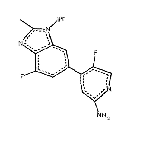 Cc1nc2c(F)cc(-c3cc(N)ncc3F)cc2n1C(C)C